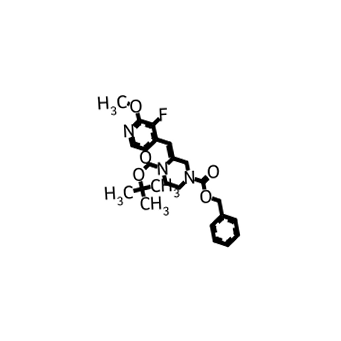 COc1nccc(/C=C2/CN(C(=O)OCc3ccccc3)CCN2C(=O)OC(C)(C)C)c1F